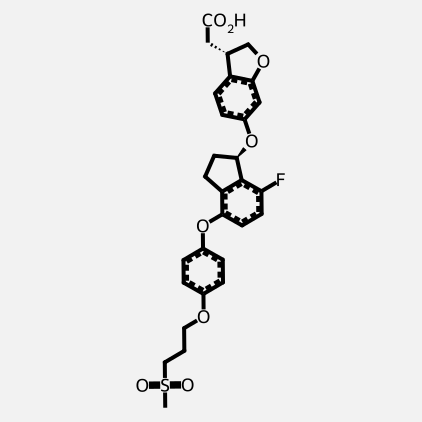 CS(=O)(=O)CCCOc1ccc(Oc2ccc(F)c3c2CC[C@H]3Oc2ccc3c(c2)OC[C@H]3CC(=O)O)cc1